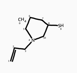 C.C=CCN1CCCC(S)C1